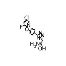 N[C@H](CO)Cn1nnc(-c2ccc(Oc3ncc(Cl)cc3F)cc2)n1